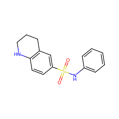 O=S(=O)(Nc1ccccc1)c1ccc2c(c1)CCCN2